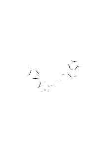 Clc1ccc(C2=CCNC(CCSCc3c[nH]c4ccccc34)C2)cc1